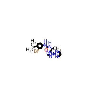 CC(C)c1ccc(NC(=O)N[C@@H](C)c2ncnn2-c2ncccn2)cc1Br